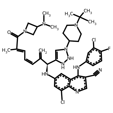 C=C(/C=C\C=C(/C)C(=O)N1CC(N(C)C)C1)[C@H](Nc1cc(Cl)c2ncc(C#N)c(Nc3ccc(F)c(Cl)c3)c2c1)C1=CN(C2CCN(C(C)(C)C)CC2)NN1